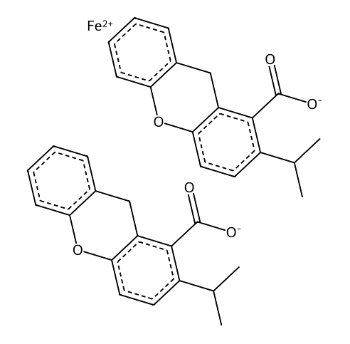 CC(C)c1ccc2c(c1C(=O)[O-])Cc1ccccc1O2.CC(C)c1ccc2c(c1C(=O)[O-])Cc1ccccc1O2.[Fe+2]